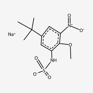 COc1c(NS(=O)(=O)[O-])cc(C(C)(C)C)cc1[N+](=O)[O-].[Na+]